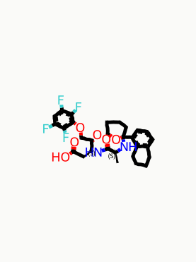 C[C@H](NC1(c2cccc3c2CCCC3)CCCCO1)C(=O)N[C@@H](CC(=O)O)C(=O)COc1c(F)c(F)cc(F)c1F